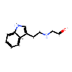 O=CCNCCc1c[nH]c2ccccc12